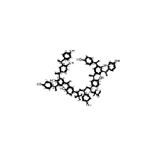 CC(c1cc(C(C)c2ccc(O)cc2)c(O)c(C(C)c2ccc(O)cc2)c1)c1cc(C(CC(CC(c2ccc(O)c(C(C)c3cc(C(C)c4ccc(O)cc4)c(O)c(C(C)c4ccc(O)c(C(C)c5ccc(O)cc5)c4)c3)c2)C(C)(C)C)c2ccc(O)cc2)CC(C)(C)C(C)C)ccc1O